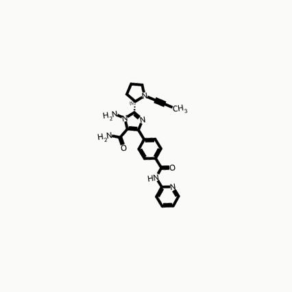 CC#CN1CCC[C@H]1c1nc(-c2ccc(C(=O)Nc3ccccn3)cc2)c(C(N)=O)n1N